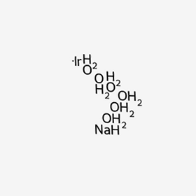 O.O.O.O.O.O.[Ir].[NaH]